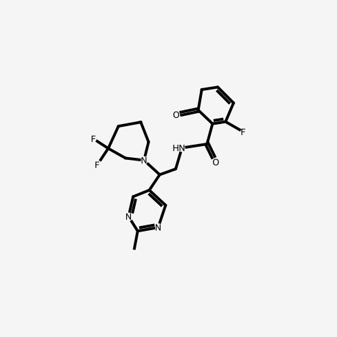 Cc1ncc(C(CNC(=O)C2=C(F)C=CCC2=O)N2CCCC(F)(F)C2)cn1